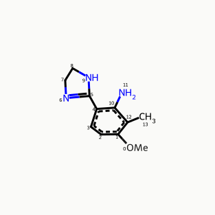 COc1ccc(C2=NCCN2)c(N)c1C